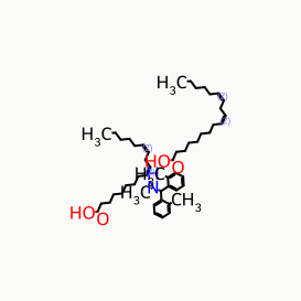 CCCCC/C=C\C/C=C\CCCCCCCC(=O)O.CCCCC/C=C\C/C=C\CCCCCCCC(=O)O.CNC(c1ccccc1C)c1ccccc1C